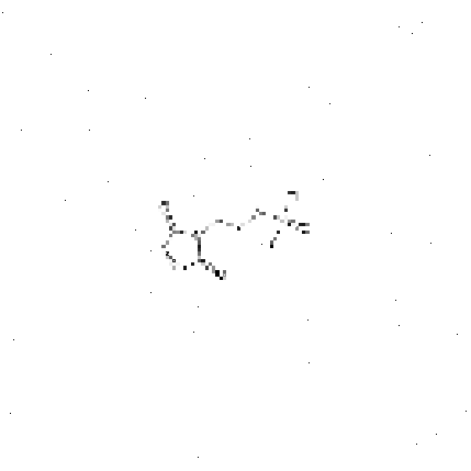 O=C1C=CC(=O)N1CCNP(=O)(Cl)Cl